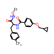 CCONC(=O)C(Cc1ccc(C(F)(F)F)cc1)NC(=O)c1ccc(OCC2CC2)cc1